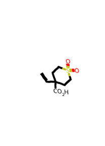 C=CC1(C(=O)O)CCS(=O)(=O)CC1